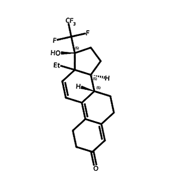 CCC12C=CC3=C4CCC(=O)C=C4CC[C@H]3[C@@H]1CC[C@@]2(O)C(F)(F)C(F)(F)F